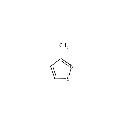 [CH2]c1ccsn1